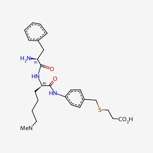 CNCCCC[C@@H](NC(=O)[C@@H](N)Cc1ccccc1)C(=O)Nc1ccc(CSCCC(=O)O)cc1